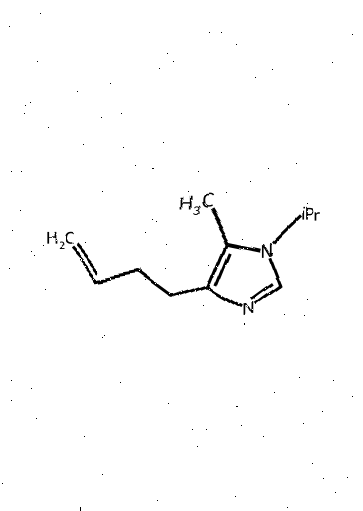 C=CCCc1ncn(C(C)C)c1C